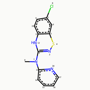 CN(C1=NSc2cc(Cl)ccc2N1)c1ccccn1